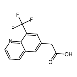 O=C(O)Cc1cc(C(F)(F)F)c2ncccc2c1